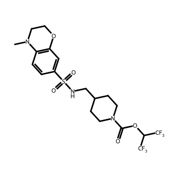 CN1CCOc2cc(S(=O)(=O)NCC3CCN(C(=O)OC(C(F)(F)F)C(F)(F)F)CC3)ccc21